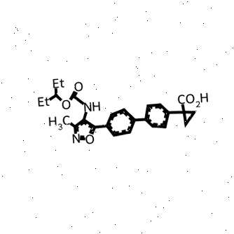 CCC(CC)OC(=O)Nc1c(C)noc1-c1ccc(-c2ccc(C3(C(=O)O)CC3)cc2)cc1